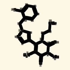 CCCCn1c(=O)c([N+](=O)[O-])c(-c2cnn(Cc3ccccc3F)c2)n(CCOC)c1=O